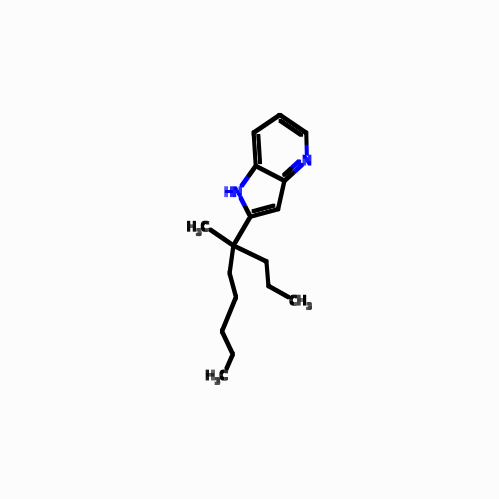 CCCCCC(C)(CCC)c1cc2ncccc2[nH]1